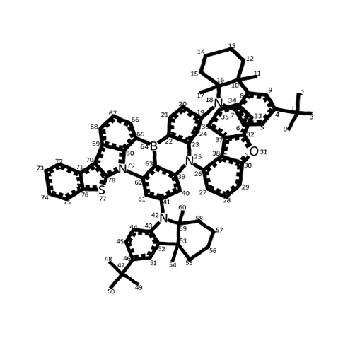 CC(C)(C)c1ccc2c(c1)C1(C)CCCCC1(C)N2c1ccc2c(c1)N(c1cccc3oc4ccccc4c13)c1cc(N3c4ccc(C(C)(C)C)cc4C4(C)CCCCC34C)cc3c1B2c1cccc2c4c5ccccc5sc4n-3c12